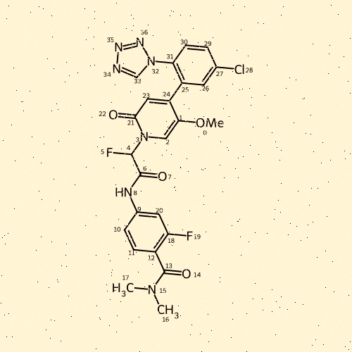 COc1cn(C(F)C(=O)Nc2ccc(C(=O)N(C)C)c(F)c2)c(=O)cc1-c1cc(Cl)ccc1-n1cnnn1